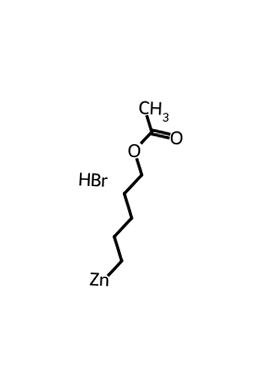 Br.CC(=O)OCCCC[CH2][Zn]